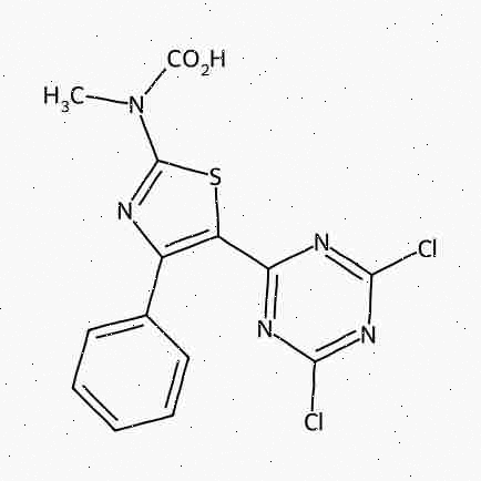 CN(C(=O)O)c1nc(-c2ccccc2)c(-c2nc(Cl)nc(Cl)n2)s1